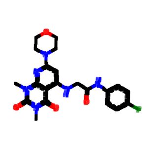 Cn1c(=O)c2c(NCC(=O)Nc3ccc(F)cc3)cc(N3CCOCC3)nc2n(C)c1=O